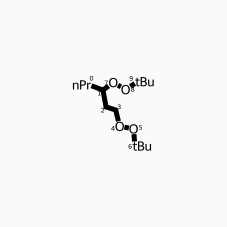 CCCC(CCOOC(C)(C)C)OOC(C)(C)C